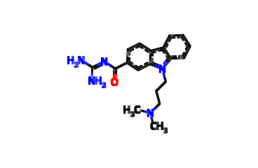 CN(C)CCCn1c2ccccc2c2ccc(C(=O)N=C(N)N)cc21